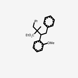 CCOC(=O)C(C)(CC(C)C)C(Cc1ccccc1)c1ccccc1OC